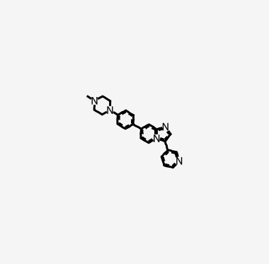 CN1CCN(c2ccc(-c3ccn4c(-c5cccnc5)cnc4c3)cc2)CC1